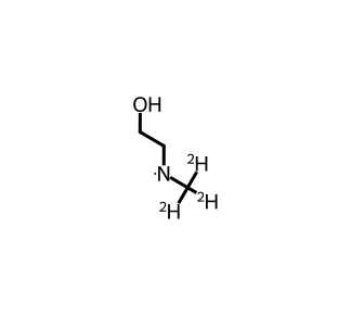 [2H]C([2H])([2H])[N]CCO